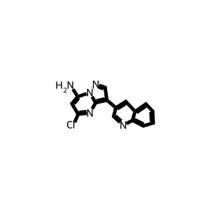 Nc1cc(Cl)nc2c(-c3cnc4ccccc4c3)cnn12